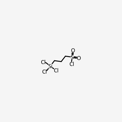 O=S(=O)(Cl)CCC[Si](Cl)(Cl)Cl